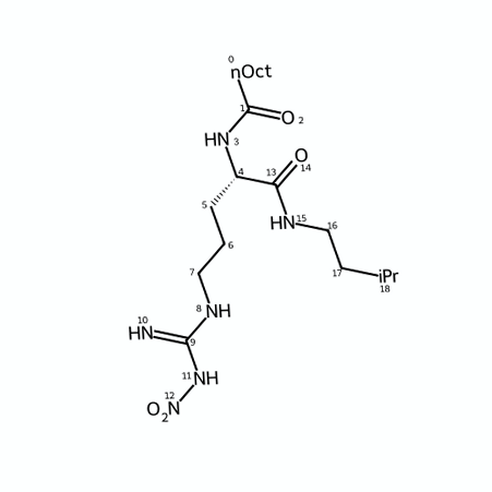 CCCCCCCCC(=O)N[C@@H](CCCNC(=N)N[N+](=O)[O-])C(=O)NCCC(C)C